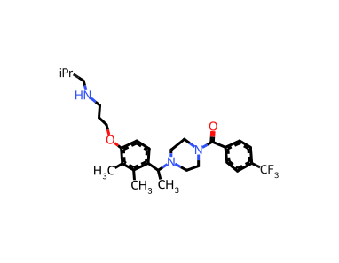 Cc1c(OCCCNCC(C)C)ccc(C(C)N2CCN(C(=O)c3ccc(C(F)(F)F)cc3)CC2)c1C